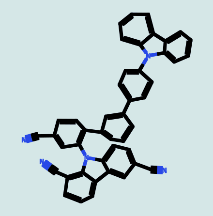 N#Cc1ccc(-c2cccc(-c3ccc(-n4c5ccccc5c5ccccc54)cc3)c2)c(-n2c3ccc(C#N)cc3c3cccc(C#N)c32)c1